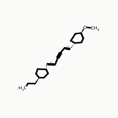 CCC[C@H]1CC[C@H](/C=C/C#C/C=C/[C@H]2CC[C@H](OC)CC2)CC1